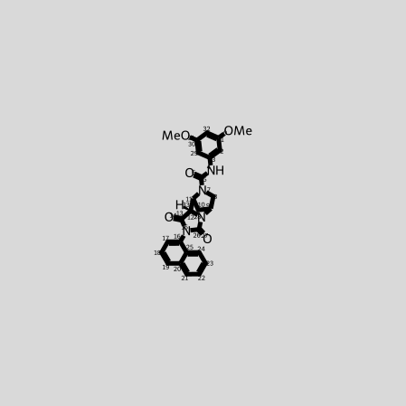 COc1cc(NC(=O)N2CC3CC2[C@H]2C(=O)N(c4cccc5ccccc45)C(=O)N32)cc(OC)c1